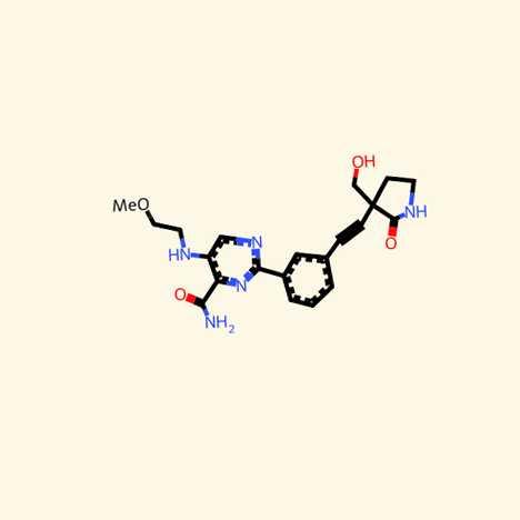 COCCNc1cnc(-c2cccc(C#CC3(CO)CCNC3=O)c2)nc1C(N)=O